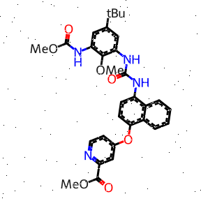 COC(=O)Nc1cc(C(C)(C)C)cc(NC(=O)Nc2ccc(Oc3ccnc(C(=O)OC)c3)c3ccccc23)c1OC